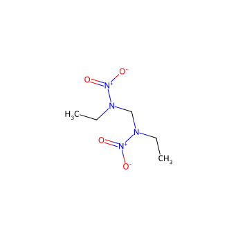 CCN(CN(CC)[N+](=O)[O-])[N+](=O)[O-]